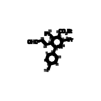 CCOC(=O)c1c(C(C)C)nc(-c2ccc(F)cc2)c(/C=C/C=O)c1C(C)C